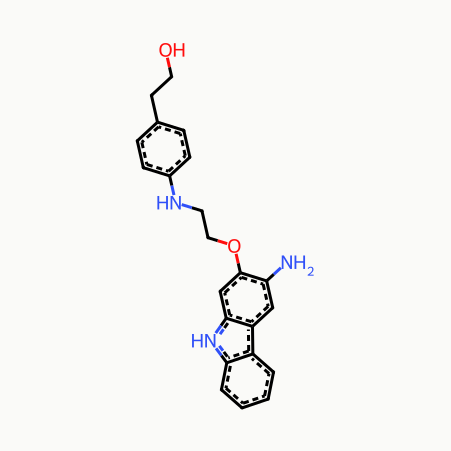 Nc1cc2c(cc1OCCNc1ccc(CCO)cc1)[nH]c1ccccc12